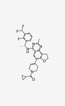 Cc1nc(N[C@H](C)c2cccc(C(F)F)c2F)c2cc(C3=CCN(C(=O)C4CC4)CC3)c3c(c2n1)CCO3